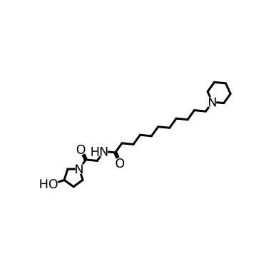 O=C(CCCCCCCCCCN1CCCCC1)NCC(=O)N1CCC(O)C1